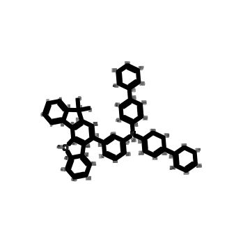 CC1(C)c2ccccc2-c2c1cc(-c1cccc(N(C3=CC=C(C4=CC=CCC4)CC3)c3ccc(-c4ccccc4)cc3)c1)c1c2oc2ccccc21